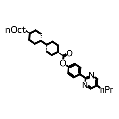 CCCCCCCC[C@H]1CC[C@H]([C@H]2CC[C@H](C(=O)Oc3ccc(-c4ncc(CCC)cn4)cc3)CC2)CC1